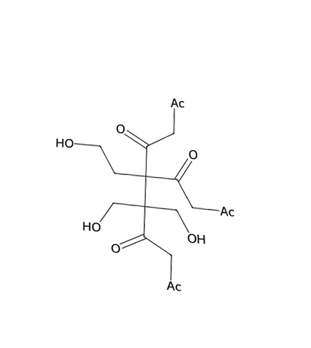 CC(=O)CC(=O)C(CO)(CO)C(CCO)(C(=O)CC(C)=O)C(=O)CC(C)=O